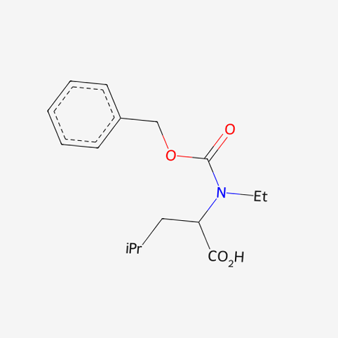 CCN(C(=O)OCc1ccccc1)C(CC(C)C)C(=O)O